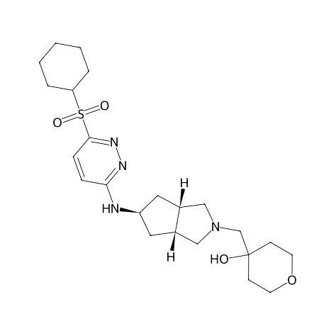 O=S(=O)(c1ccc(N[C@H]2C[C@@H]3CN(CC4(O)CCOCC4)C[C@@H]3C2)nn1)C1CCCCC1